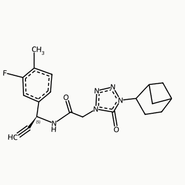 C#C[C@H](NC(=O)Cn1nnn(C2CCC3CC2C3)c1=O)c1ccc(C)c(F)c1